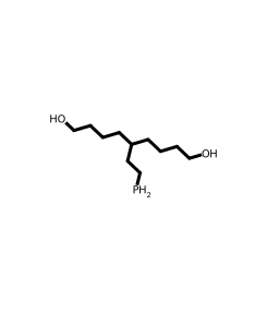 OCCCCC(CCP)CCCCO